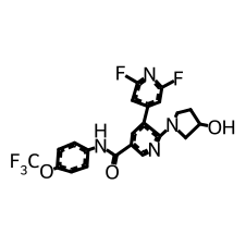 O=C(Nc1ccc(OC(F)(F)F)cc1)c1cnc(N2CCC(O)C2)c(-c2cc(F)nc(F)c2)c1